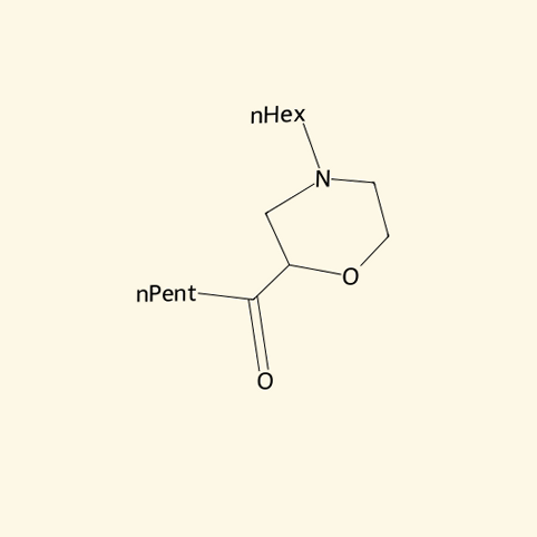 CCCCCCN1CCOC(C(=O)CCCCC)C1